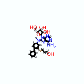 CN(c1ccc(-c2ccccc2)c(SCCCO)c1)c1nc2c(N)ncnc2n1[C@@H]1O[C@H](CO)[C@@H](O)[C@H]1O